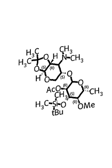 CO[C@H]1[C@H](O[Si](C)(C)C(C)(C)C)[C@@H](OC(C)=O)C(O[C@@H]2CO[C@H]3OC(C)(C)O[C@@H]3C2N(C)C)O[C@@H]1C